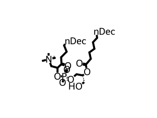 CCCCCCCCCCCCCCCC(=O)O[C@H](CO)COP(=O)([O-])OC(C[N+](C)(C)C)C(=O)CCCCCCCCCCCCC